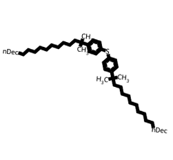 CCCCCCCCCCCCCCCCCCCCC(C)(C)c1ccc(Sc2ccc(C(C)(C)CCCCCCCCCCCCCCCCCCCC)cc2)cc1